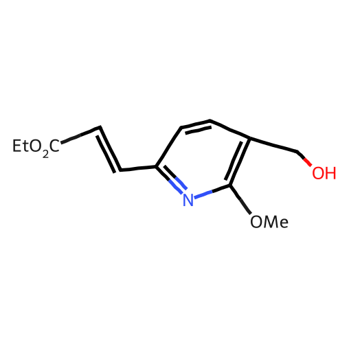 CCOC(=O)/C=C/c1ccc(CO)c(OC)n1